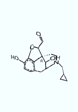 O=CC1Oc2c(O)ccc3c2[C@@]12CCN(CC1CC1)C(C3)C2O